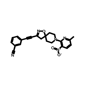 Cc1ccc([N+](=O)[O-])c(N2CCC3(CC2)CC(C#Cc2cccc(C#N)c2)=NO3)n1